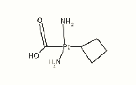 [NH2][Pt]([NH2])([C](=O)O)[CH]1CCC1